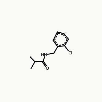 CC(C)C(=O)NCc1ccccc1Cl